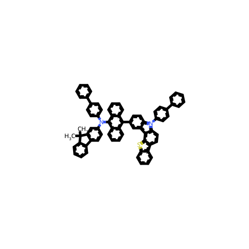 CC1(C)c2ccccc2-c2ccc(N(c3ccc(-c4ccccc4)cc3)c3c4ccccc4c(-c4ccc5c(c4)c4c6sc7ccccc7c6ccc4n5-c4ccc(-c5ccccc5)cc4)c4ccccc34)cc21